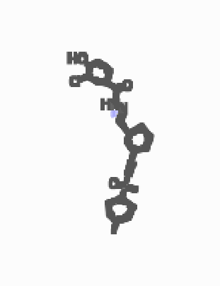 C=S(=O)(C#Cc1cccc(/C=N/NC(=O)c2ccc(O)c(Cl)c2)c1)c1ccc(C)cc1